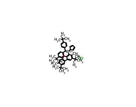 Cc1cc2c(cc1C(C)(C)C)-c1cc(C(C)(C)C)c(C)[c]([Zr+2](=[C](c3ccc(C(C)(C)C)cc3)c3ccc(C(C)(C)C)cc3)[CH]3C=CC=C3)c1C2.[Cl-].[Cl-]